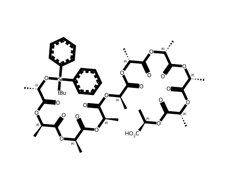 C[C@H](O[Si](c1ccccc1)(c1ccccc1)C(C)(C)C)C(=O)O[C@H](C)C(=O)O[C@H](C)C(=O)O[C@H](C)C(=O)O[C@H](C)C(=O)O[C@H](C)C(=O)O[C@H](C)C(=O)O[C@H](C)C(=O)O[C@H](C)C(=O)O[C@H](C)C(=O)O